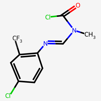 CN(C=Nc1ccc(Cl)cc1C(F)(F)F)C(=O)Cl